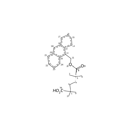 CC(C)(CCC(C)(C)C(=O)OCc1c2ccccc2cc2ccccc12)C(=O)O